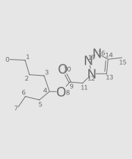 CCCCC(CCC)OC(=O)Cn1cc(C)nn1